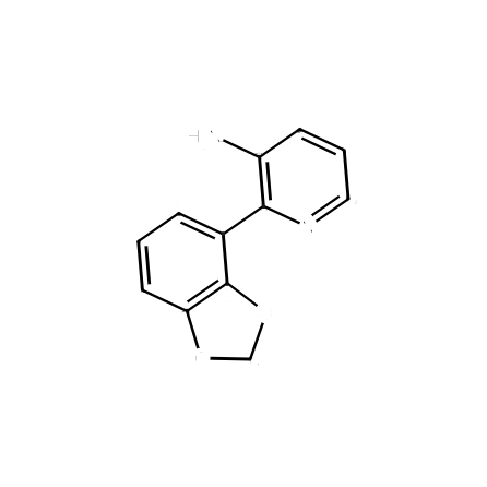 Nc1[c]ccnc1-c1cccc2c1OCO2